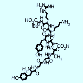 CC[C@H](C)[C@H](NC(=O)[C@H](CCCNC(=N)N)NC(=O)[C@H](CCCCN)NC(=O)[C@H](Cc1ccc(O)cc1)NC(=O)[C@H](CC(=O)O)NC(=O)[C@H](C)NC(=O)CNC(=O)CNC(=O)[C@@H](N)Cc1ccc(O)cc1)C(=O)O